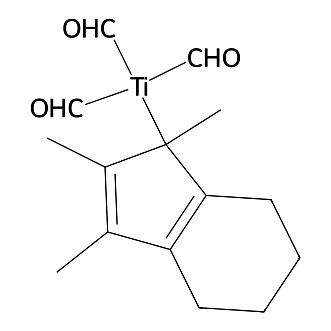 CC1=C(C)[C](C)([Ti]([CH]=O)([CH]=O)[CH]=O)C2=C1CCCC2